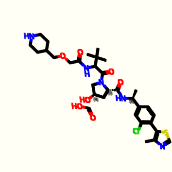 Cc1ncsc1-c1ccc([C@H](C)NC(=O)[C@@H]2C[C@@H](O)CN2C(=O)C(NC(=O)COCC2CCNCC2)C(C)(C)C)cc1Cl.O=CO